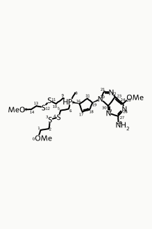 COCCSSCC[PH](C)(CCSSCCOC)[C@@H]1C=C[C@H](n2cnc3c(OC)nc(N)nc32)C1